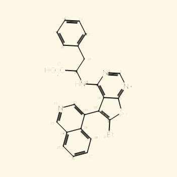 CCc1sc2ncnc(NC(Cc3ccccc3)C(=O)O)c2c1-c1cncc2ccccc12